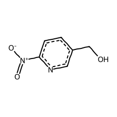 O=[N+]([O-])c1ccc(CO)cn1